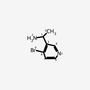 CC(N)c1cnccc1Br